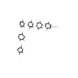 Cc1ccc(P)cc1C.Cc1ccc(P)cc1C.Cc1ccc(P)cc1C.Cc1ccc(P)cc1C.Cc1ccc(P)cc1C.Cc1ccc(P)cc1C.Cl.Cl.Cl.Cl.[Co]